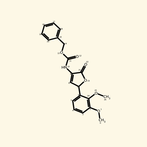 COc1cccc(C2C=C(NC(=O)OCc3ccccc3)C(=O)O2)c1OC